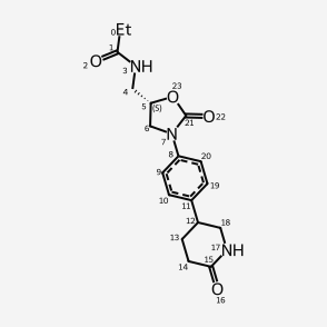 CCC(=O)NC[C@H]1CN(c2ccc(C3CCC(=O)NC3)cc2)C(=O)O1